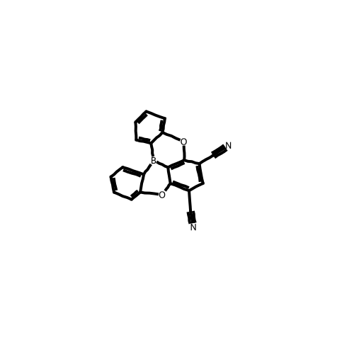 N#Cc1cc(C#N)c2c3c1Oc1ccccc1B3c1ccccc1O2